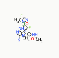 C=CC(=O)Nc1ccc(-c2c(-c3cc(F)c(Oc4ncc(F)c(C)n4)c(Cl)c3)c3c(N)ncc(C#N)c3n2C)cc1